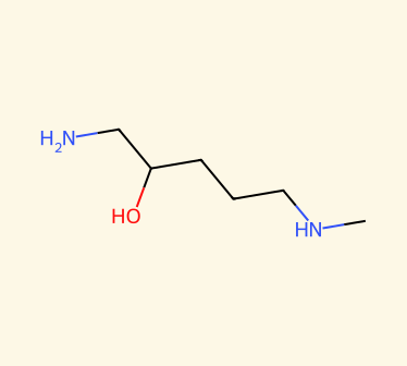 CNCCCC(O)CN